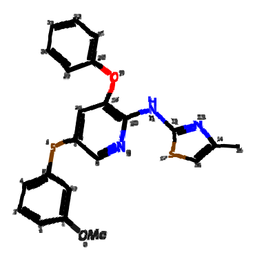 COc1cccc(Sc2cnc(Nc3nc(C)cs3)c(Oc3ccccc3)c2)c1